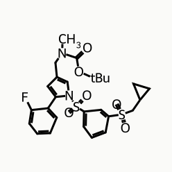 CN(Cc1cc(-c2ccccc2F)n(S(=O)(=O)c2cccc(S(=O)(=O)CC3CC3)c2)c1)C(=O)OC(C)(C)C